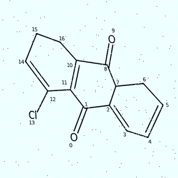 O=C1C2=CC=CCC2C(=O)C2=C1C(Cl)=CCC2